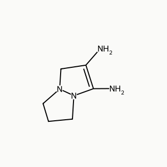 NC1=C(N)N2CCCN2C1